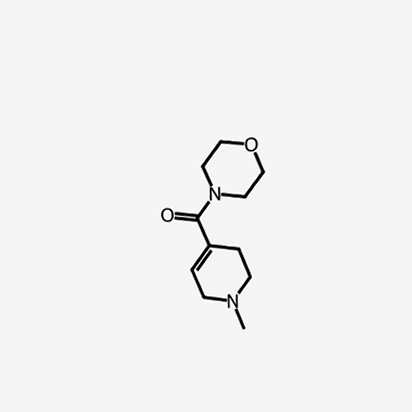 CN1CC=C(C(=O)N2CCOCC2)CC1